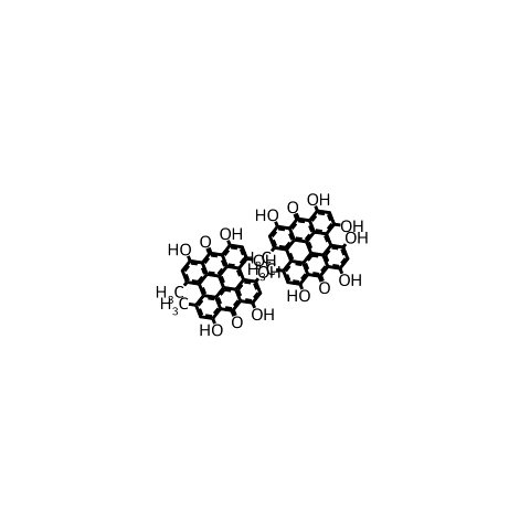 Cc1cc(O)c2c(=O)c3c(O)cc(O)c4c5c(O)cc(O)c6c(=O)c7c(O)cc(C)c8c1c2c(c34)c(c78)c65.Cc1cc(O)c2c(=O)c3c(O)cc(O)c4c5c(O)cc(O)c6c(=O)c7c(O)cc(C)c8c1c2c(c34)c(c78)c65